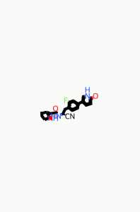 N#C[C@H](Cc1ccc(-c2ccc(=O)[nH]c2)cc1F)NC(=O)C1NC2CCC1C2